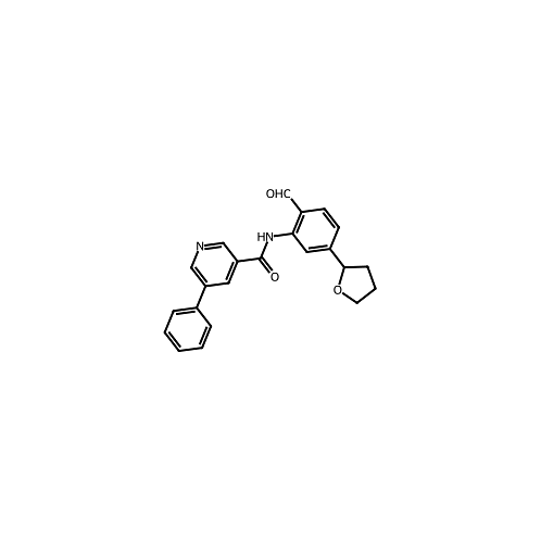 O=Cc1ccc(C2CCCO2)cc1NC(=O)c1cncc(-c2ccccc2)c1